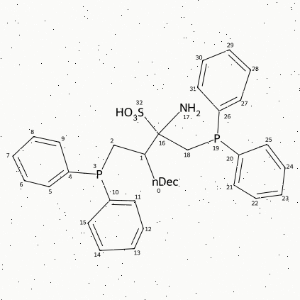 CCCCCCCCCCC(CP(c1ccccc1)c1ccccc1)C(N)(CP(c1ccccc1)c1ccccc1)S(=O)(=O)O